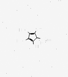 C[C]1C(C)=C(C)C(C)=C1C.[Sm]